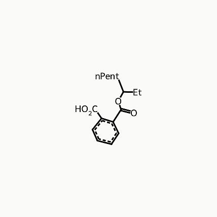 CCCCCC(CC)OC(=O)c1ccccc1C(=O)O